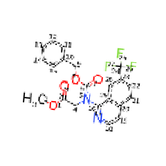 COC(=O)CN(C(=O)OCc1ccccc1)c1nccc2ccc(C(F)(F)F)cc12